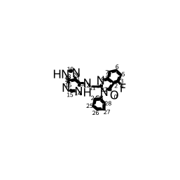 O=c1c2c(F)cccc2nc(CNc2ncnc3[nH]cnc23)n1-c1ccccc1